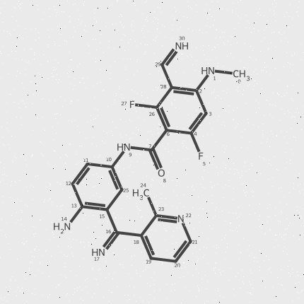 CNc1cc(F)c(C(=O)Nc2ccc(N)c(C(=N)c3cccnc3C)c2)c(F)c1C=N